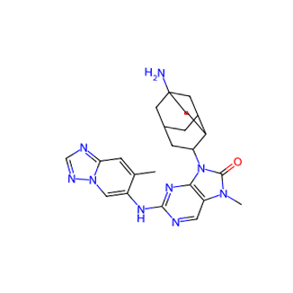 Cc1cc2ncnn2cc1Nc1ncc2c(n1)n(C1CC3CC4CC(N)(CCC41)C3)c(=O)n2C